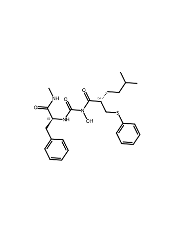 CNC(=O)[C@H](Cc1ccccc1)NC(=O)N(O)C(=O)[C@H](CCC(C)C)CSc1ccccc1